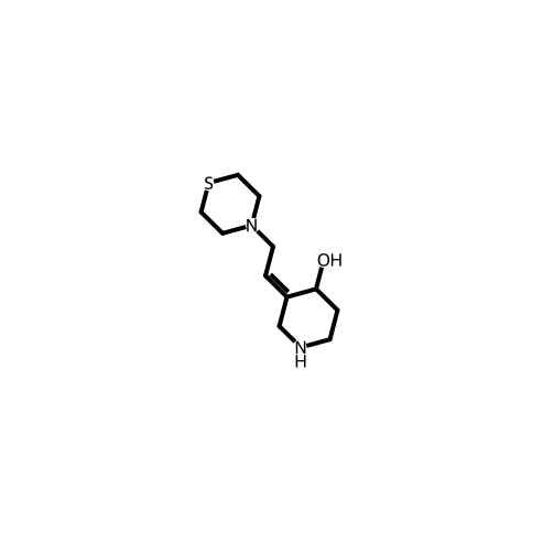 OC1CCNCC1=CCN1CCSCC1